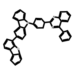 C1=CC(c2nc(-c3ccccc3)c3ccccc3n2)CC=C1n1c2ccccc2c2cc(-c3cccc4c3oc3ccccc34)ccc21